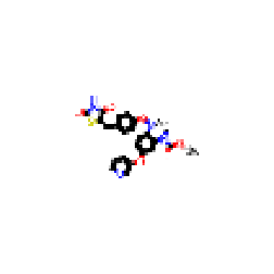 CC(=O)N(Oc1ccc(CC2SC(=O)NC2=O)cc1)c1ccc(Oc2cccnc2)cc1N(C)C(=O)OC(C)(C)C